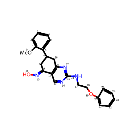 COc1ccccc1C1C/C(=N\O)c2cnc(NCCOc3ccccc3)nc2C1